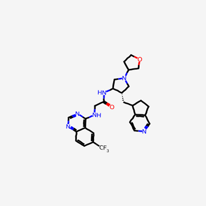 O=C(CNc1ncnc2ccc(C(F)(F)F)cc12)NC1CN(C2CCOC2)C[C@@H]1CC1CCc2cnccc21